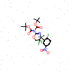 CC(C)(C)OC(=O)N(C(=O)OC(C)(C)C)C1=N[C@](C)(c2cc([N+](=O)[O-])ccc2F)C(F)(F)CO1